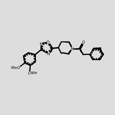 COc1ccc(-c2noc(C3CCN(C(=O)Cc4ccccc4)CC3)n2)cc1OC